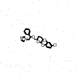 Clc1ccc(O[C@@H]2CCC[C@H](COC(Cn3ccnc3)c3ccccc3)O2)c(Cl)c1